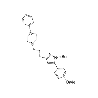 COc1ccc(-c2cc(CCCN3CCN(c4ccccc4)CC3)nn2C(C)(C)C)cc1